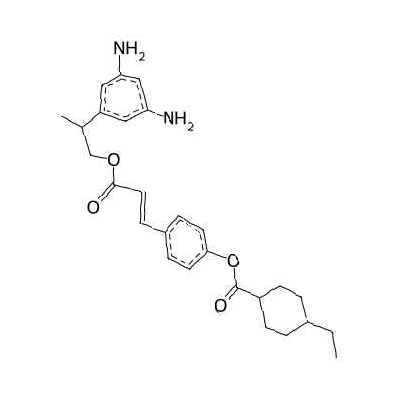 CCC1CCC(C(=O)Oc2ccc(/C=C/C(=O)OCC(C)c3cc(N)cc(N)c3)cc2)CC1